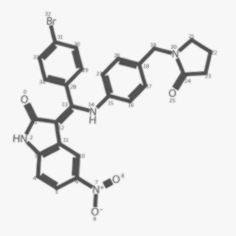 O=C1Nc2ccc([N+](=O)[O-])cc2C1=C(Nc1ccc(CN2CCCC2=O)cc1)c1ccc(Br)cc1